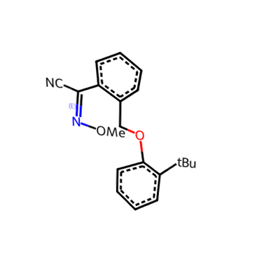 CO/N=C(/C#N)c1ccccc1COc1ccccc1C(C)(C)C